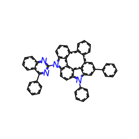 c1ccc(-c2cc3c4ccccc4c4cccc5c4c4c6c3c(c2)n(-c2ccccc2)c6ccc4n5-c2nc(-c3ccccc3)c3ccccc3n2)cc1